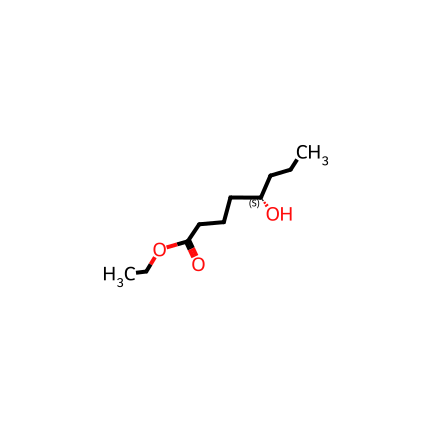 CCC[C@H](O)CCCC(=O)OCC